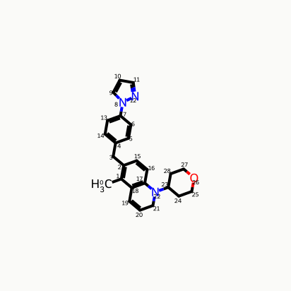 Cc1c(Cc2ccc(-n3cccn3)cc2)ccc2c1C=CCN2C1CCOCC1